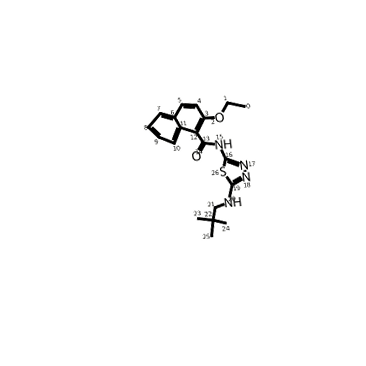 CCOc1ccc2ccccc2c1C(=O)Nc1nnc(NCC(C)(C)C)s1